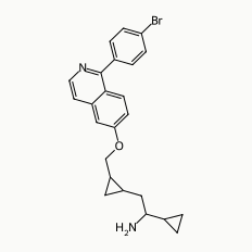 NC(CC1CC1COc1ccc2c(-c3ccc(Br)cc3)nccc2c1)C1CC1